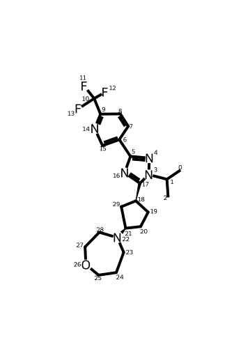 CC(C)n1nc(-c2ccc(C(F)(F)F)nc2)nc1[C@H]1CC[C@@H](N2CCCOCC2)C1